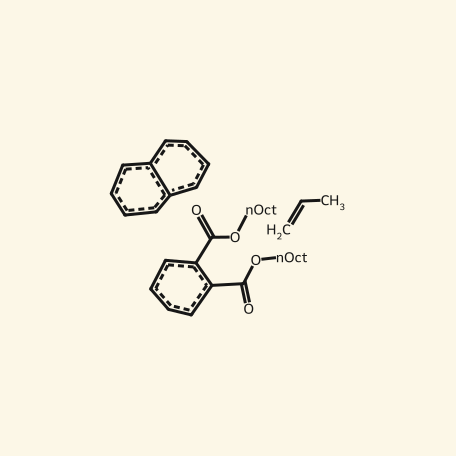 C=CC.CCCCCCCCOC(=O)c1ccccc1C(=O)OCCCCCCCC.c1ccc2ccccc2c1